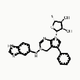 C[C@H]1O[C@@H](n2cc(-c3ccccc3)c3c2N=CN(Nc2ccc4[nH]cnc4c2)C3)[C@H](O)[C@@H]1O